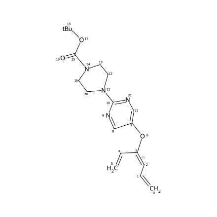 C=C/C=C(\C=C)Oc1cnc(N2CCN(C(=O)OC(C)(C)C)CC2)nc1